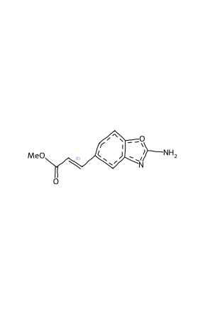 COC(=O)/C=C/c1ccc2oc(N)nc2c1